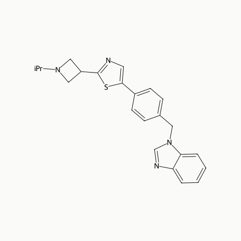 CC(C)N1CC(c2ncc(-c3ccc(Cn4cnc5ccccc54)cc3)s2)C1